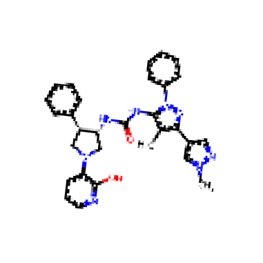 Cc1c(-c2cnn(C)c2)nn(-c2ccccc2)c1NC(=O)N[C@@H]1CN(c2cccnc2O)C[C@H]1c1ccccc1